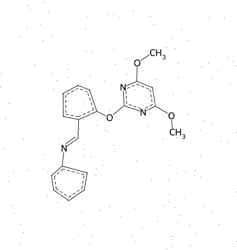 COc1cc(OC)nc(Oc2ccccc2/C=N/c2ccccc2)n1